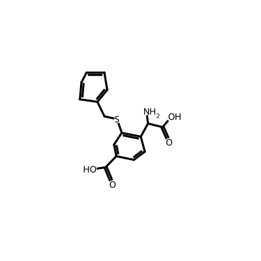 NC(C(=O)O)c1ccc(C(=O)O)cc1SCc1ccccc1